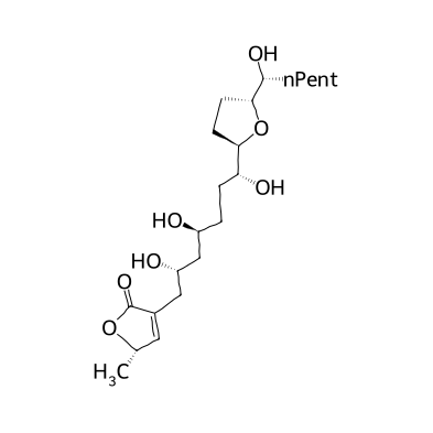 CCCCC[C@@H](O)[C@H]1CC[C@H]([C@H](O)CC[C@H](O)C[C@@H](O)CC2=C[C@H](C)OC2=O)O1